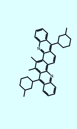 Cc1c(C)c2c(ccc3c(C4CCCC(C)C4)c4ccccc4nc32)c2nc3ccccc3c(C3CCCC(C)C3)c12